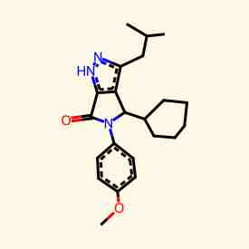 COc1ccc(N2C(=O)c3[nH]nc(CC(C)C)c3C2C2CCCCC2)cc1